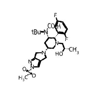 C[C@H](O)CN1C[C@H](N2Cc3cn(S(C)(=O)=O)nc3C2)C[C@H](N(C(=O)O)C(C)(C)C)[C@@H]1c1cc(F)ccc1F